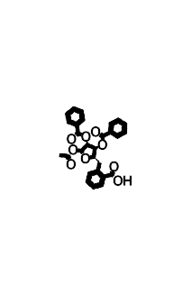 CC(=O)OC1O[C@@H](Cc2ccccc2C(=O)O)[C@H](OC(=O)c2ccccc2)[C@H]1OC(=O)c1ccccc1